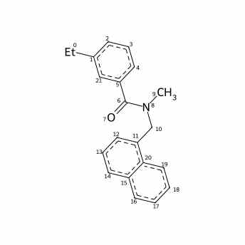 CCc1cccc(C(=O)N(C)Cc2cccc3ccccc23)c1